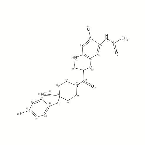 CC(=O)Nc1cc2c(cc1Cl)NCC(C(=O)N1CCC(C#N)(Cc3ccc(F)cc3)CC1)O2